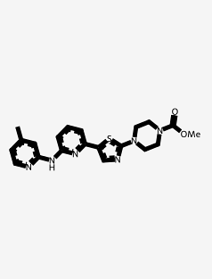 COC(=O)N1CCN(c2ncc(-c3cccc(Nc4cc(C)ccn4)n3)s2)CC1